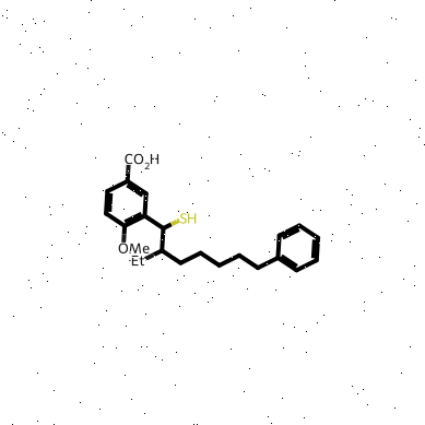 C[CH]C(CCCCCc1ccccc1)C(S)c1cc(C(=O)O)ccc1OC